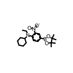 CCN(c1ccc(B2OC(C)(C)C(C)(C)O2)cc1[N+](=O)[O-])C1CCCCC1